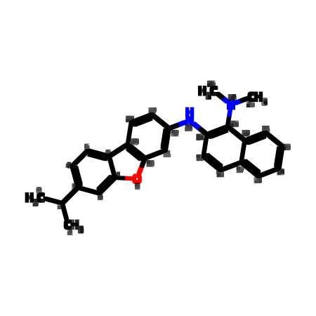 CC(C)c1ccc2c(c1)oc1cc(Nc3ccc4ccccc4c3N(C)C)ccc12